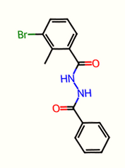 Cc1c(Br)cccc1C(=O)NNC(=O)c1ccccc1